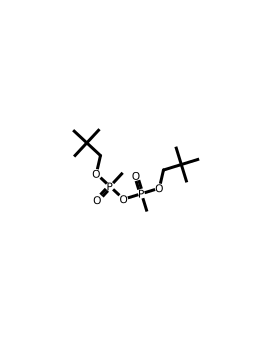 CC(C)(C)COP(C)(=O)OP(C)(=O)OCC(C)(C)C